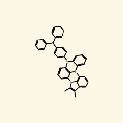 Cc1c(C)n2c3c(cccc13)B1c3ccccc3N(c3ccc(N(C4=CCCC=C4)c4ccccc4)cc3)c3cccc-2c31